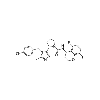 Cc1nnc(C2CCCN2C(=O)NC2CCOc3c(F)ccc(F)c32)n1Cc1ccc(Cl)cc1